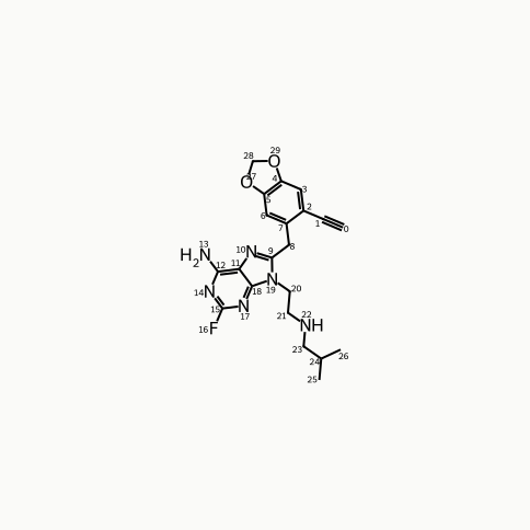 C#Cc1cc2c(cc1Cc1nc3c(N)nc(F)nc3n1CCNCC(C)C)OCO2